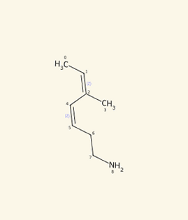 C/C=C(C)\C=C/CCN